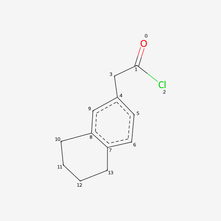 O=C(Cl)Cc1ccc2c(c1)CCCC2